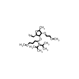 [2H]C[C@H]1O[C@@H](C)[C@H](OCCOC)[C@@H]1OP(CCCOC)N(C(C)C)C(C)C